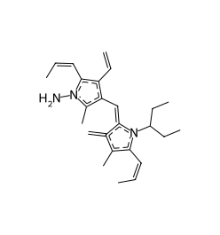 C=Cc1c(/C=c2\c(=C)c(C)c(/C=C\C)n2C(CC)CC)c(C)n(N)c1/C=C\C